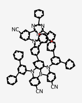 N#Cc1ccc2c(c1)B1c3cc(C#N)ccc3N(c3cc(-c4ccccc4)cc(-c4ccccc4)c3)c3cc(-c4ccc5c(c4)c4ccccc4n5-c4ccc(C#N)cc4-c4nc(-c5ccccc5)nc(-c5ccccc5)n4)cc(c31)N2c1cc(-c2ccccc2)cc(-c2ccccc2)c1